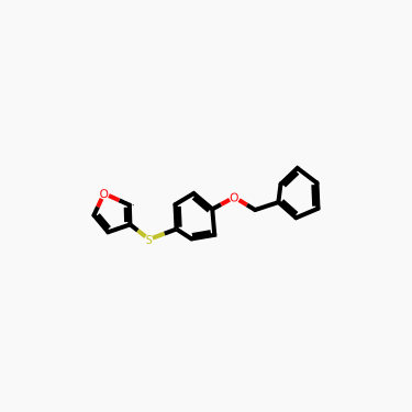 [c]1occc1Sc1ccc(OCc2ccccc2)cc1